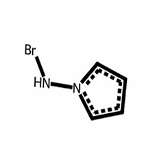 BrNn1cccc1